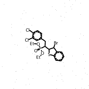 CCOP(=O)(OCC)C(Cc1ccc(Cl)c(Cl)c1)C1Sc2ccccc2C1Br